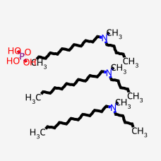 CCCCCCCCCCCCN(C)CCCCC.CCCCCCCCCCCCN(C)CCCCC.CCCCCCCCCCCCN(C)CCCCC.O=P(O)(O)O